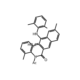 CC(=O)N(C(=O)c1cc2ccc(C)cc2c(Nc2c(C)cccc2C)c1C(=O)O)c1c(C)cccc1C